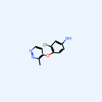 Cc1nnccc1Oc1ccc([NH])cc1Cl